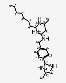 CCCCCCCC1NC(C)CC(NCc2ccc(C3NOC(C)N3)cc2)N1